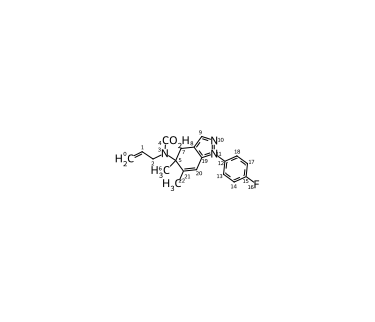 C=CCN(C(=O)O)C1(C)Cc2cnn(-c3ccc(F)cc3)c2C=C1C